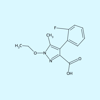 CCOn1nc(C(=O)O)c(-c2ccccc2F)c1C